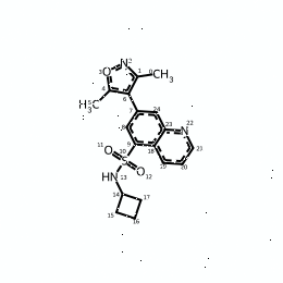 Cc1noc(C)c1-c1cc(S(=O)(=O)NC2CCC2)c2cccnc2c1